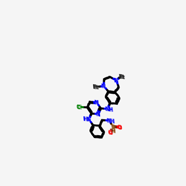 CCN1CCN(CC)c2cc(Nc3ncc(Cl)c(Nc4ccccc4CN[SH](=O)=O)n3)ccc2C1